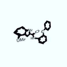 COc1cccc2[nH]c(C(=O)Nc3ccccc3Oc3ccccc3)cc12